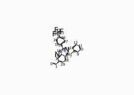 C=Cc1ccc([C@@H](Cc2ccccc2)/N=C(\C#N)c2ccc(C(F)(F)F)cc2)cc1